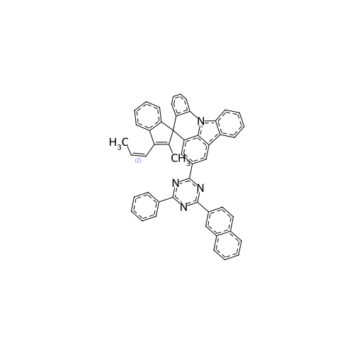 C/C=C\C1=C(C)C2(c3ccccc31)c1ccccc1-n1c3ccccc3c3cc(-c4nc(-c5ccccc5)nc(-c5ccc6ccccc6c5)n4)cc2c31